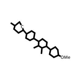 COC1CCC(C2CCC(C3CCC(C4CCC(C)CC4)CC3)C(C)C2C)CC1